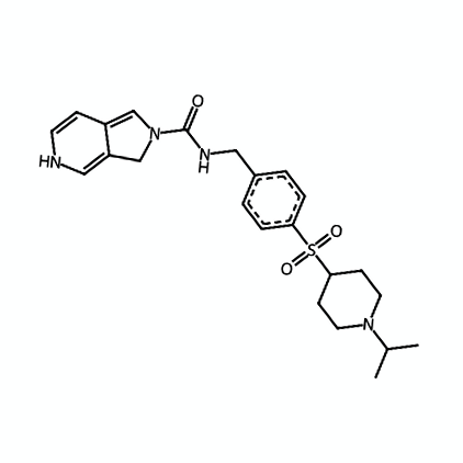 CC(C)N1CCC(S(=O)(=O)c2ccc(CNC(=O)N3C=C4C=CNC=C4C3)cc2)CC1